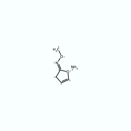 CON=C1CC=CO1.N